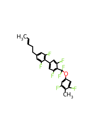 C/C=C/CCc1cc(F)c(-c2cc(F)c(C(F)(F)Oc3cc(F)c(C)c(F)c3)c(F)c2)c(F)c1